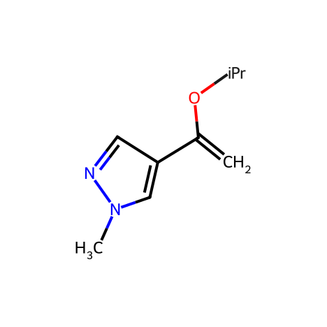 C=C(OC(C)C)c1cnn(C)c1